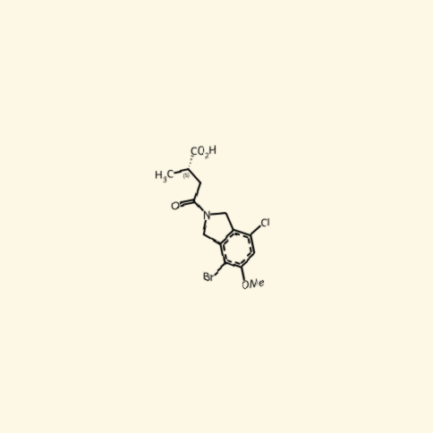 COc1cc(Cl)c2c(c1Br)CN(C(=O)C[C@H](C)C(=O)O)C2